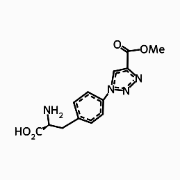 COC(=O)c1cn(-c2ccc(C[C@H](N)C(=O)O)cc2)nn1